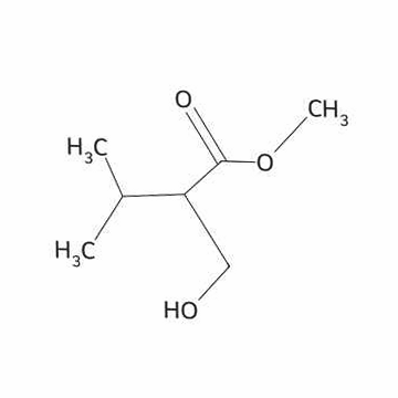 COC(=O)C(CO)C(C)C